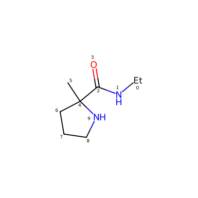 CCNC(=O)C1(C)CCCN1